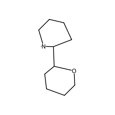 C1CCC(C2CCCCO2)[N]C1